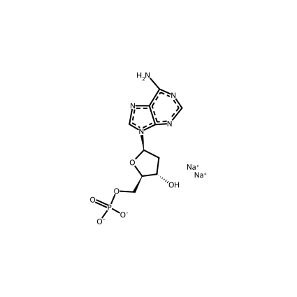 Nc1ncnc2c1ncn2[C@H]1C[C@H](O)[C@@H](COP(=O)([O-])[O-])O1.[Na+].[Na+]